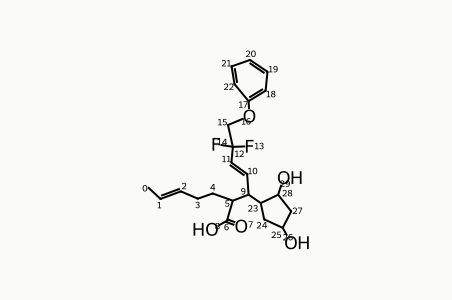 C/C=C/CCC(C(=O)O)C(/C=C/C(F)(F)COc1ccccc1)C1CC(O)CC1O